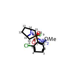 COc1cccc(Cl)c1C1(F)CC2CCC(C1)N2S(N)(=O)=O